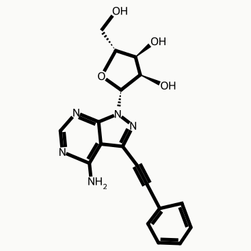 Nc1ncnc2c1c(C#Cc1ccccc1)nn2[C@@H]1O[C@H](CO)[C@@H](O)[C@H]1O